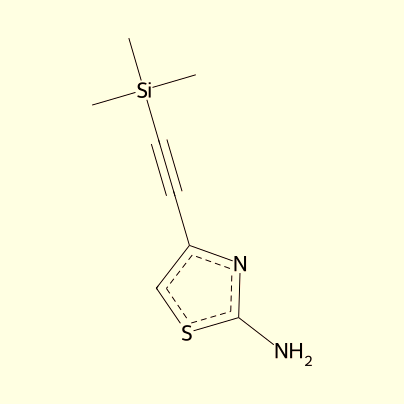 C[Si](C)(C)C#Cc1csc(N)n1